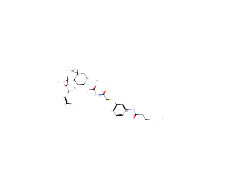 CO[C@H]1[C@H](C2(C)O[C@@H]2CC=C(C)C)[C@]2(CC[C@H]1OC(=O)NC(=O)CSc1cccc(NC(=O)CCC(=O)O)c1)CO2